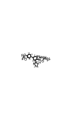 CCNC(=O)Nc1nc2cc(-c3ccc4c(c3)OC(F)(F)O4)cc(N3CCC=N3)c2[nH]1